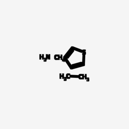 C.CC.N.c1ccsc1